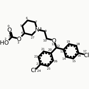 O=C(O)OC1CCCN(CCOC(c2ccc(Cl)cc2)c2ccc(Cl)cc2)C1